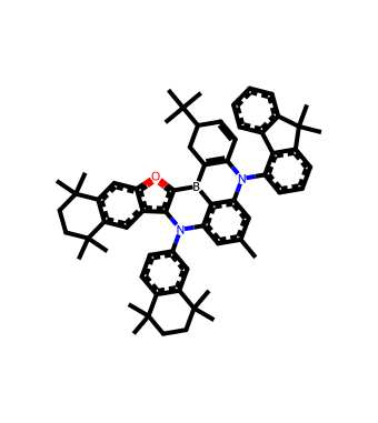 Cc1cc2c3c(c1)N(c1ccc4c(c1)C(C)(C)CCC4(C)C)c1c(oc4cc5c(cc14)C(C)(C)CCC5(C)C)B3C1=C(C=CC(C(C)(C)C)C1)N2c1cccc2c1-c1ccccc1C2(C)C